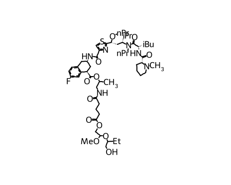 CCCO[C@H](C[C@H](C(C)C)N(CCC)C(=O)[C@@H](NC(=O)[C@H]1CCCCN1C)[C@@H](C)CC)c1nc(C(=O)N[C@H]2Cc3ccc(F)cc3[C@H](C(=O)OC(C)CNC(=O)CCCC(=O)OCC(OC)OC(CC)CO)C2)cs1